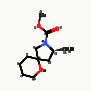 CC(C)(C)OC(=O)N1CC2(CCCCO2)C[C@H]1C(=O)O